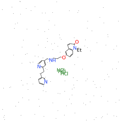 CCn1c(=O)ccc2cc(OCCCNCc3ccnc(CCc4cccnc4)c3)ccc21.Cl.Cl.Cl